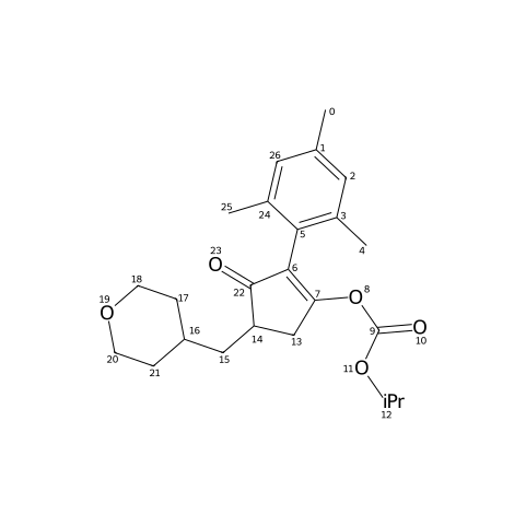 Cc1cc(C)c(C2=C(OC(=O)OC(C)C)CC(CC3CCOCC3)C2=O)c(C)c1